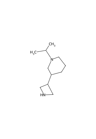 CC(C)N1CCCC(C2CNC2)C1